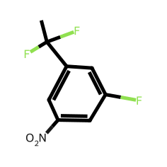 CC(F)(F)c1cc(F)cc([N+](=O)[O-])c1